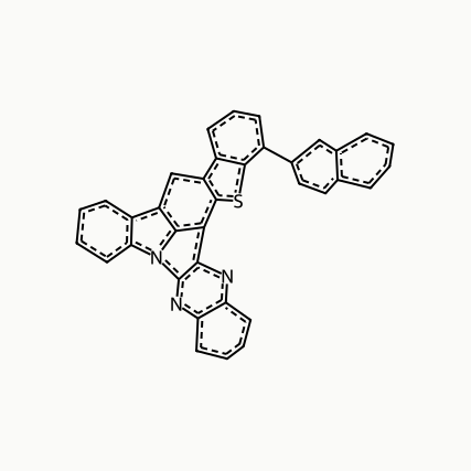 c1ccc2cc(-c3cccc4c3sc3c4cc4c5ccccc5n5c6nc7ccccc7nc6c3c45)ccc2c1